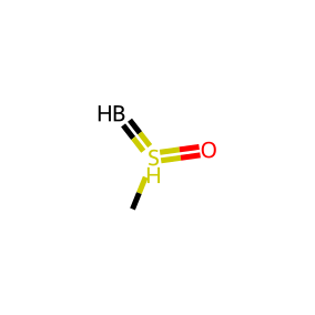 B=[SH](C)=O